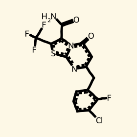 NC(=O)c1c(C(F)(F)F)sc2nc(Cc3cccc(Cl)c3F)cc(=O)n12